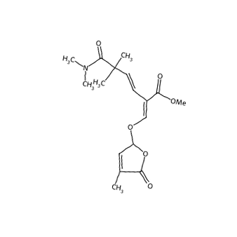 COC(=O)C(/C=C/C(C)(C)C(=O)N(C)C)=C/OC1C=C(C)C(=O)O1